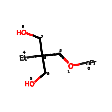 CCCOCC(CC)(CO)CO